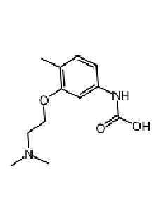 Cc1ccc(NC(=O)O)cc1OCCN(C)C